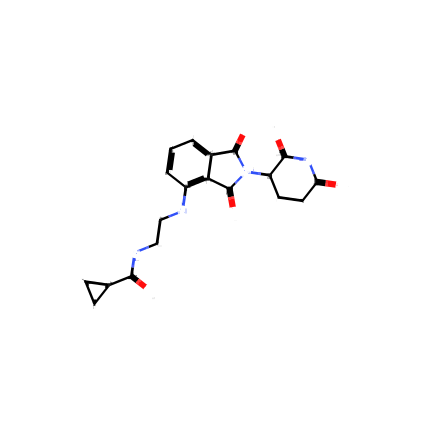 O=C1CCC(N2C(=O)c3cccc(NCCNC(=O)C4CC4)c3C2=O)C(=O)N1